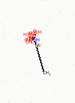 CCCCCCCCCCCCCCCCCCN(Br)CCC(=O)NC(COCP(=O)(O)O)(COCP(=O)(O)O)COCP(=O)(O)O